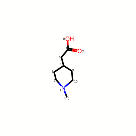 [C]N1CCC(CC(=O)O)CC1